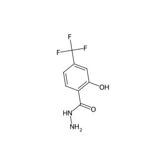 NNC(=O)c1ccc(C(F)(F)F)cc1O